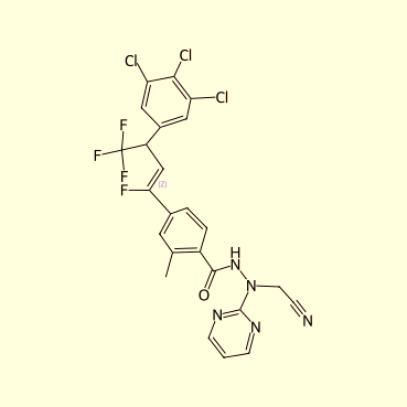 Cc1cc(/C(F)=C/C(c2cc(Cl)c(Cl)c(Cl)c2)C(F)(F)F)ccc1C(=O)NN(CC#N)c1ncccn1